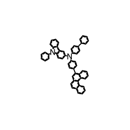 c1ccc(-c2ccc(N(c3ccc(-c4cc5ccc6ccccc6c5c5ccccc45)cc3)c3ccc4c(c3)c3ccccc3n4-c3ccccc3)cc2)cc1